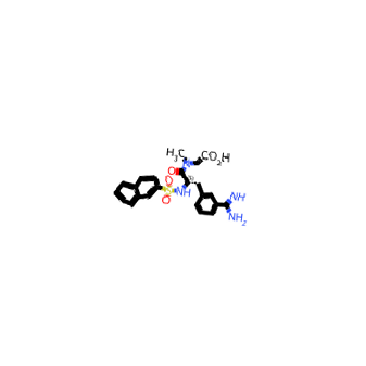 CN(CC(=O)O)C(=O)[C@H](Cc1cccc(C(=N)N)c1)NS(=O)(=O)c1ccc2ccccc2c1